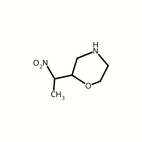 CC(C1CNCCO1)[N+](=O)[O-]